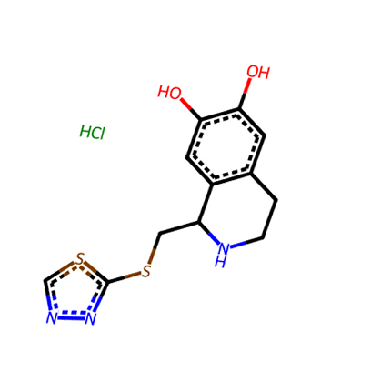 Cl.Oc1cc2c(cc1O)C(CSc1nncs1)NCC2